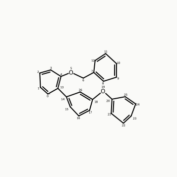 [c]1cccc(OCc2ccccc2)c1-c1cccc(Oc2ccccc2)c1